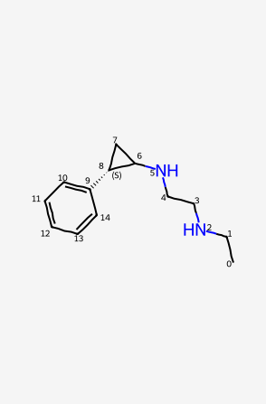 CCNCCNC1C[C@H]1c1ccccc1